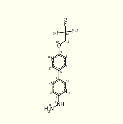 NNc1cnc(-c2ccc(OCC(F)(F)F)nc2)cn1